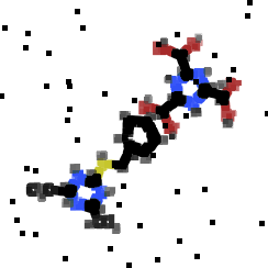 BrC(Br)c1nc(C(Br)Br)nc(C(Br)Br)n1.ClC(Cl)(Cl)c1nc(SCc2ccccc2)nc(C(Cl)(Cl)Cl)n1